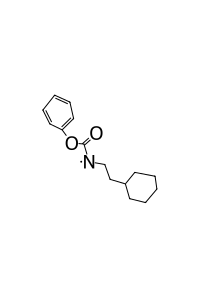 O=C([N]CCC1CCCCC1)Oc1ccccc1